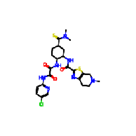 CN1CCc2nc(C(=O)NC3CC(C(=S)N(C)C)CCC3NC(=O)C(=O)Nc3ccc(Cl)cn3)sc2C1